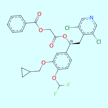 O=C(COC(=O)c1ccccc1)O[C@@H](Cc1c(Cl)cncc1Cl)c1ccc(OC(F)F)c(OCC2CC2)c1